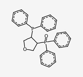 O=P(c1ccccc1)(c1ccccc1)C1COCC1P(c1ccccc1)c1ccccc1